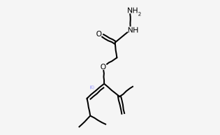 C=C(C)/C(=C\C(C)C)OCC(=O)NN